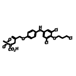 C=C(COc1ccc(Nc2cc(Cl)c(OCCCCl)c(Cl)c2)cc1)CN(C(=O)O)S(C)(=O)=O